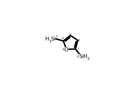 [SiH3]c1ccc([SiH3])o1